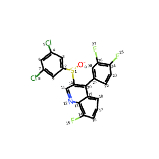 [O-][S+](c1cc(Cl)cc(Cl)c1)c1cnc2c(F)cccc2c1-c1ccc(F)c(F)c1